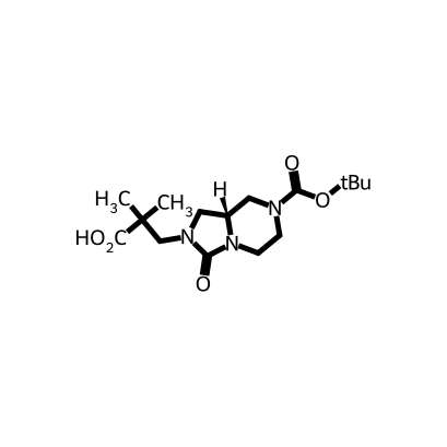 CC(C)(C)OC(=O)N1CCN2C(=O)N(CC(C)(C)C(=O)O)C[C@@H]2C1